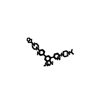 CC(C)N1CCN(c2ccc(-c3cc(-c4ccc(N5CCN(C6COC6)CC5)nc4)cc4c3ncn4C)cn2)CC1